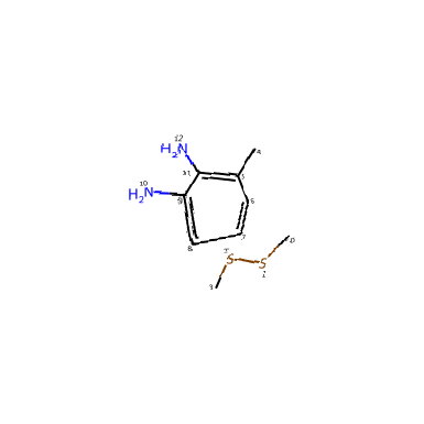 CSSC.Cc1cccc(N)c1N